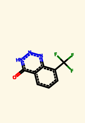 O=c1[nH]nnc2c(C(F)(F)F)cccc12